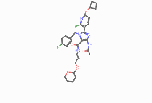 CC(=O)Nc1nc(-c2ccc(OC3CCC3)nc2F)n(Cc2ccc(F)cc2)c1C(=O)NCCCOC1CCCCO1